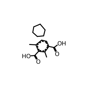 C1CCCCC1.Cc1ccc(C(=O)O)c(C)c1C(=O)O